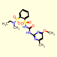 CCN(C)S(=O)(=O)c1ccccc1S(=O)(=O)NC(=O)Nc1nc(C)cc(OC)n1